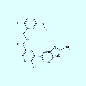 Nc1nc2cc(-c3cc(C(=O)NCc4cc(OC(F)(F)F)ccc4F)cnc3Cl)ccn2n1